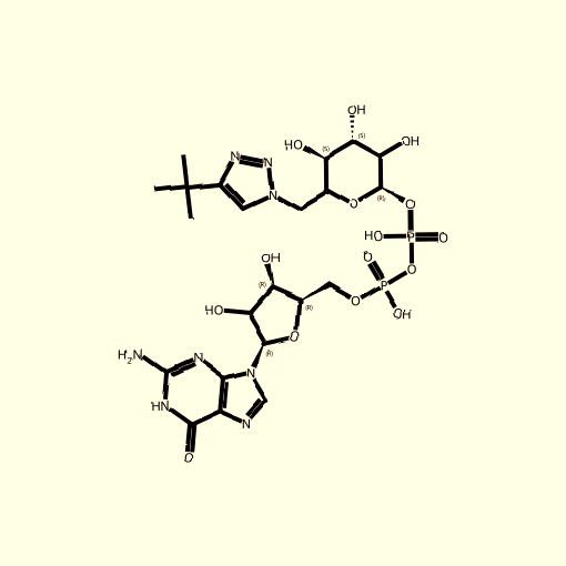 CC(C)(C)c1cn(CC2O[C@H](OP(=O)(O)OP(=O)(O)OC[C@H]3O[C@@H](n4cnc5c(=O)[nH]c(N)nc54)C(O)[C@H]3O)C(O)[C@@H](O)[C@@H]2O)nn1